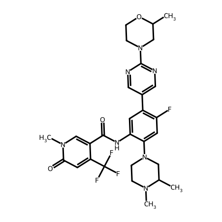 CC1CN(c2ncc(-c3cc(NC(=O)c4cn(C)c(=O)cc4C(F)(F)F)c(N4CCN(C)C(C)C4)cc3F)cn2)CCO1